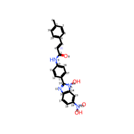 Cc1ccc(/C=C/C(=O)Nc2ccc(-c3nc4ccc([N+](=O)O)cc4n3O)cc2)cc1